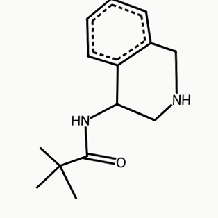 CC(C)(C)C(=O)NC1CNCc2ccccc21